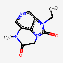 CN1C(=O)Cn2c(=O)n(CC=O)c3cncc1c32